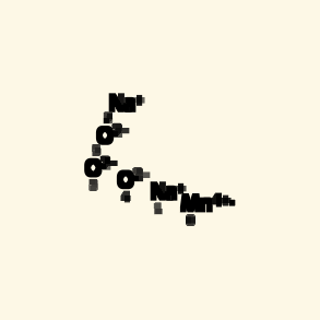 [Mn+4].[Na+].[Na+].[O-2].[O-2].[O-2]